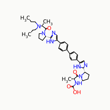 CCCN(CCC)[C@@H](C)C(=O)N1CCC[C@H]1c1ncc(-c2ccc(-c3ccc(-c4cnc([C@@H]5CCCN5C(=O)[C@H](C)NC(=O)O)[nH]4)cc3)cc2)[nH]1